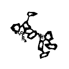 CC1(C)c2ccc(Nc3ccc(-c4ccccc4)cc3-c3ccccc3-c3ccccc3)cc2-c2cc(-c3ccccc3)cc(-c3ccccc3)c21